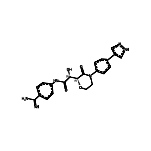 N=C(N)c1ccc(NC(=O)[C@H](O)[C@H]2OCCN(c3ccc(-c4cn[nH]c4)cc3)C2=O)cc1